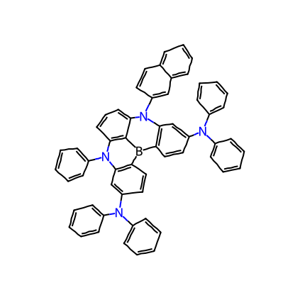 c1ccc(N(c2ccccc2)c2ccc3c(c2)N(c2ccccc2)c2cccc4c2B3c2ccc(N(c3ccccc3)c3ccccc3)cc2N4c2ccc3ccccc3c2)cc1